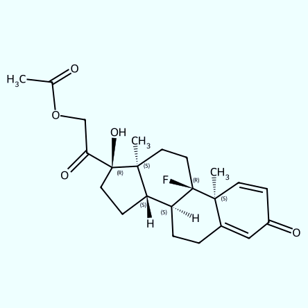 CC(=O)OCC(=O)[C@@]1(O)CC[C@H]2[C@@H]3CCC4=CC(=O)C=C[C@]4(C)[C@@]3(F)CC[C@@]21C